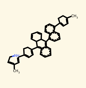 CC1=CCNC(C2=CC=C(C3=c4ccccc4=C(c4cccc5c(C6=CC=C(C)CC6)cccc45)C4C=CC=CC34)CC2)=C1